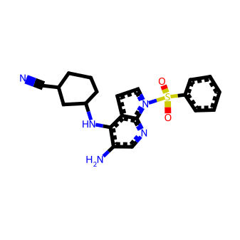 N#CC1CCCC(Nc2c(N)cnc3c2ccn3S(=O)(=O)c2ccccc2)C1